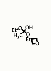 C1COC1.CCOC(C)(O)OCC